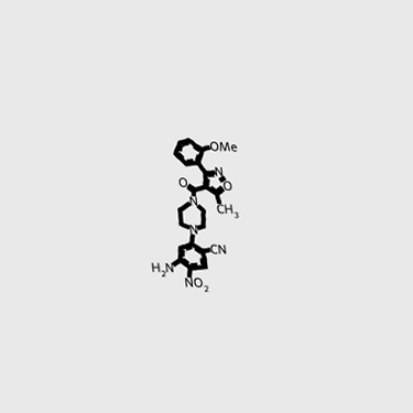 COc1ccccc1-c1noc(C)c1C(=O)N1CCN(c2cc(N)c([N+](=O)[O-])cc2C#N)CC1